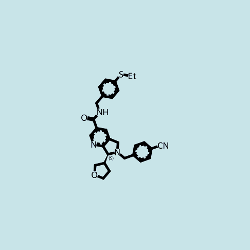 CCSc1ccc(CNC(=O)c2cnc3c(c2)CN(Cc2ccc(C#N)cc2)[C@H]3C2CCOC2)cc1